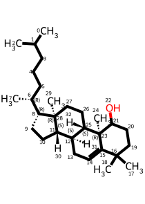 CC(C)CCC[C@@H](C)[C@H]1CC[C@H]2[C@@H]3CC=C4C(C)(C)CCC(O)[C@]4(C)[C@H]3CC[C@]12C